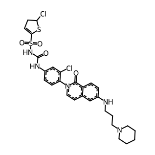 O=C(Nc1ccc(-n2ccc3cc(NCCCN4CCCCC4)ccc3c2=O)c(Cl)c1)NS(=O)(=O)C1=CCC(Cl)S1